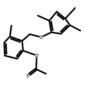 CC(=S)Oc1cccc(C)c1COc1cc(C)c(C)cc1C